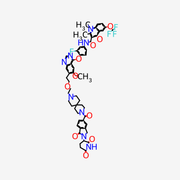 COc1cc2c(Oc3ccc(NC(=O)c4c(C)n(C)c5ccc(OC(F)(F)F)cc5c4=O)cc3F)ncnc2cc1CCOCCN1CCC2(CC1)CCN(C(=O)c1ccc3c(c1)CN(C1CCC(=O)NC1=O)C3=O)CC2